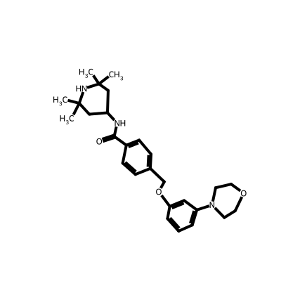 CC1(C)CC(NC(=O)c2ccc(COc3cccc(N4CCOCC4)c3)cc2)CC(C)(C)N1